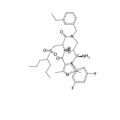 CCCC(CCC)S(=O)(=O)CC(NC(=O)c1sc(C)nc1C)C(=O)N(Cc1cccc(CC)c1)CC(O)[C@@H](N)Cc1cc(F)cc(F)c1